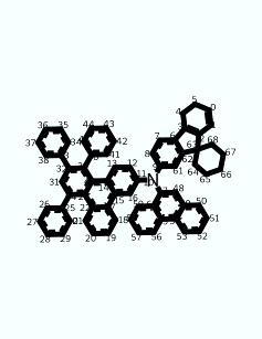 C1=CC2=C(CC1)c1ccc(N(c3ccc4c(c3)c3ccccc3c3c(-c5ccccc5)cc(-c5ccccc5)c(-c5ccccc5)c43)c3cc4ccccc4c4ccccc34)cc1C21CCCCC1